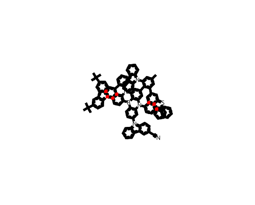 Cc1cc(-c2ccc3c(c2)sc2ccccc23)c(-c2cc3c4c(c2)N(c2ccccc2-c2ccccc2)c2cc(-n5c6ccc(C(C)(C)C)cc6c6cc(C(C)(C)C)ccc65)ccc2B4c2ccc(-n4c5ccccc5c5cc(C#N)ccc54)cc2N3c2ccc(-c3ccccc3)cc2)c(-n2c3ccccc3c3ccccc32)c1